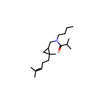 CCCCN(CC1CC1(C)CCC=C(C)C)C(=O)C(C)C